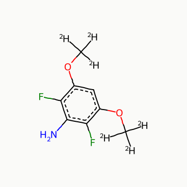 [2H]C([2H])([2H])Oc1cc(OC([2H])([2H])[2H])c(F)c(N)c1F